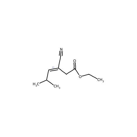 CCOC(=O)C/C(C#N)=C\C(C)C